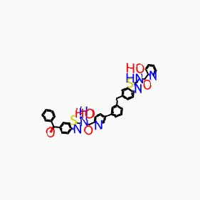 O=C(c1ccccc1)c1ccc2nc(NC(=O)c3ncc(-c4cccc(Cc5ccc6nc(NC(=O)c7ncccc7O)sc6c5)c4)cc3O)sc2c1